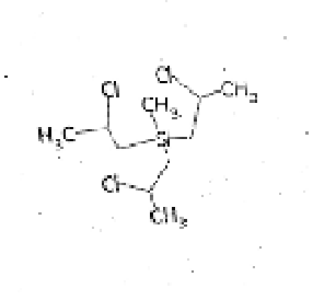 CC(Cl)C[Si](C)(CC(C)Cl)CC(C)Cl